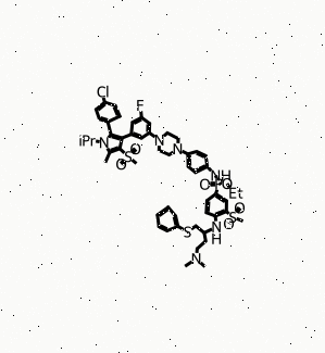 CCOP(=O)(Nc1ccc(N2CCN(c3cc(F)cc(-c4c(S(C)(=O)=O)c(C)n(C(C)C)c4-c4ccc(Cl)cc4)c3)CC2)cc1)c1ccc(NC(CCN(C)C)CSc2ccccc2)c(S(C)(=O)=O)c1